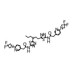 CCC[C@@H](CCc1nnc(NC(=O)Cc2ccc(N3CC(F)(F)C3)nc2)s1)c1nnc(NC(=O)Cc2ccc(N3CC(F)(F)C3)nc2)s1